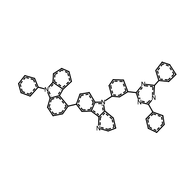 c1ccc(-c2nc(-c3ccccc3)nc(-c3cccc(-n4c5ccc(-c6cccc7c6c6ccccc6n7-c6ccccc6)cc5c5ncccc54)c3)n2)cc1